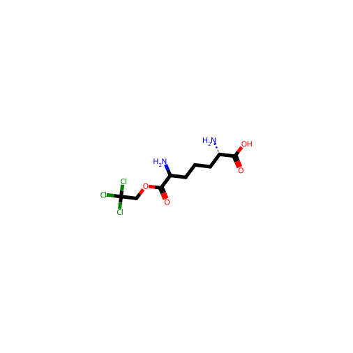 NC(CCC[C@H](N)C(=O)O)C(=O)OCC(Cl)(Cl)Cl